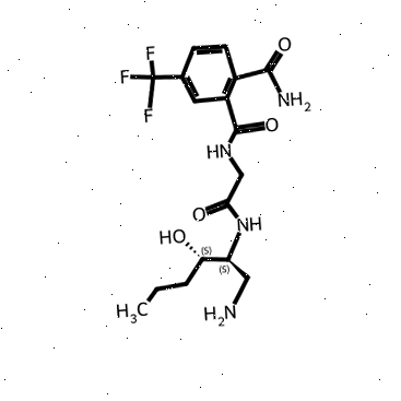 CCC[C@H](O)[C@H](CN)NC(=O)CNC(=O)c1cc(C(F)(F)F)ccc1C(N)=O